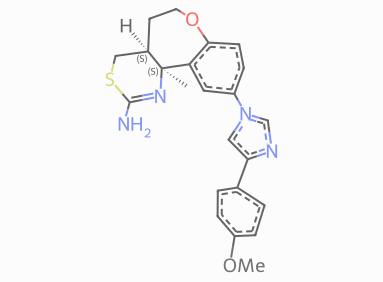 COc1ccc(-c2cn(-c3ccc4c(c3)[C@@]3(C)N=C(N)SC[C@H]3CCO4)cn2)cc1